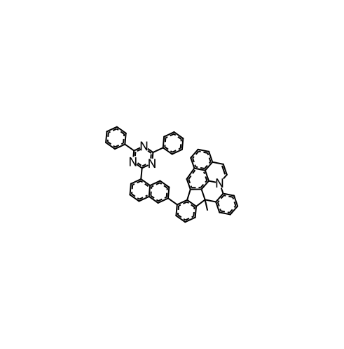 CC12c3ccccc3N3C=Cc4cccc5cc(c1c3c45)-c1c(-c3ccc4c(-c5nc(-c6ccccc6)nc(-c6ccccc6)n5)cccc4c3)cccc12